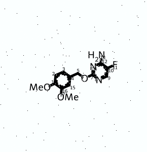 COc1ccc(COc2ncc(F)c(N)n2)cc1OC